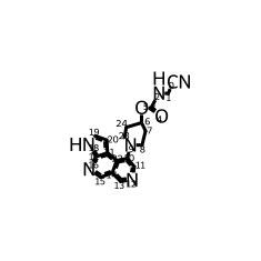 N#CCNC(=O)OC1CCN(c2cncc3cnc4[nH]ccc4c23)CC1